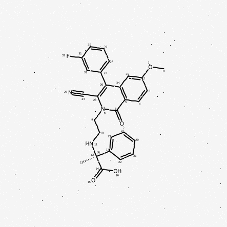 COc1ccc2c(=O)n(CCN[C@](C)(C(=O)O)c3ccccc3)c(C#N)c(-c3cccc(F)c3)c2c1